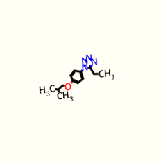 CCc1nnnn1-c1ccc(OCC(C)C)cc1